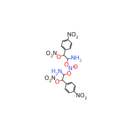 NC(O[N+](=O)OC(N)C(O[N+](=O)[O-])c1ccc([N+](=O)[O-])cc1)C(O[N+](=O)[O-])c1ccc([N+](=O)[O-])cc1